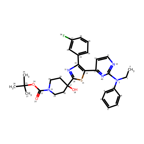 CCN(c1ccccc1)c1nccc(-c2sc(C3(O)CCN(C(=O)OC(C)(C)C)CC3)nc2-c2cccc(F)c2)n1